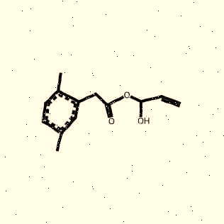 C=CC(O)OC(=O)Cc1cc(C)ccc1C